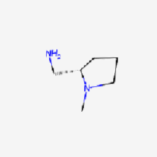 CN1CCC[C@H]1CN